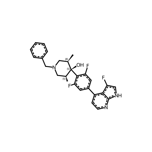 C[C@@H]1CN(Cc2ccccc2)C[C@H](C)[C@@]1(O)c1c(F)cc(-c2ccnc3[nH]cc(F)c23)cc1F